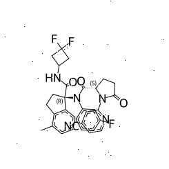 Cc1cccc2c1CC[C@@]2(C(=O)NC1CC(F)(F)C1)N(C(=O)[C@@H]1CCC(=O)N1c1cc(C#N)ccn1)c1cccc(F)c1